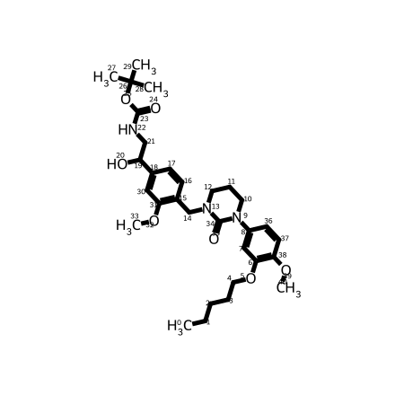 CCCCCOc1cc(N2CCCN(Cc3ccc(C(O)CNC(=O)OC(C)(C)C)cc3OC)C2=O)ccc1OC